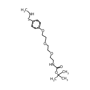 CNSc1ccc(OCCOCCOCCNC(=O)OC(C)(C)C)cc1